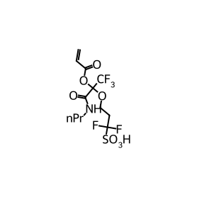 C=CC(=O)OC(OCCC(F)(F)S(=O)(=O)O)(C(=O)NCCC)C(F)(F)F